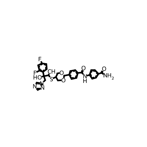 CC(SC1COC(c2ccc(C(=O)Nc3ccc(C(N)=O)cc3)cc2)OC1)C(O)(Cn1cncn1)c1ccc(F)cc1F